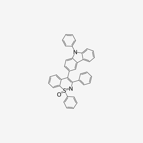 O=S1(c2ccccc2)=NC(c2ccccc2)=C(c2ccc3c(c2)c2ccccc2n3-c2ccccc2)c2ccccc21